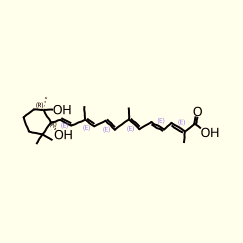 CC(/C=C/C=C(C)/C=C/[C@@]1(O)C(C)(C)CCC[C@@]1(C)O)=C\C=C\C=C(/C)C(=O)O